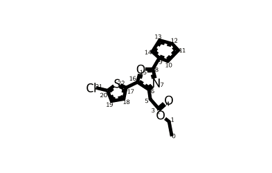 CCOC(=O)Cc1nc(-c2ccccc2)oc1-c1ccc(Cl)s1